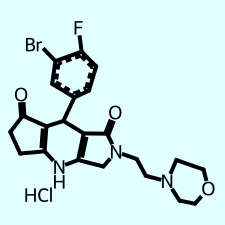 Cl.O=C1CCC2=C1C(c1ccc(F)c(Br)c1)C1=C(CN(CCN3CCOCC3)C1=O)N2